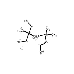 CC(C)(CO)CO.C[N+](C)(C)CCO.[Cl-]